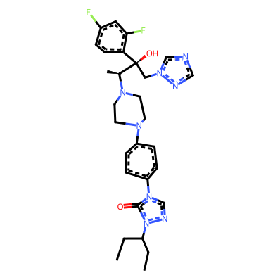 CCC(CC)n1ncn(-c2ccc(N3CCN([C@@H](C)[C@@](O)(Cn4cncn4)c4ccc(F)cc4F)CC3)cc2)c1=O